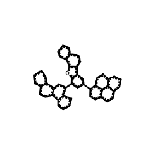 c1ccc2c(c1)ccc1c3ccccc3c(-c3cc(-c4ccc5ccc6cccc7ccc4c5c67)cc4c3oc3c5ccccc5ccc43)cc21